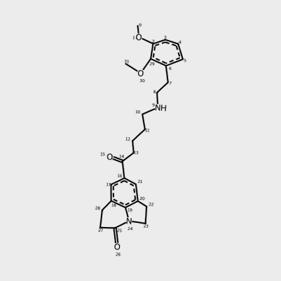 COc1cccc(CCNCCCCC(=O)c2cc3c4c(c2)CCN4C(=O)CC3)c1OC